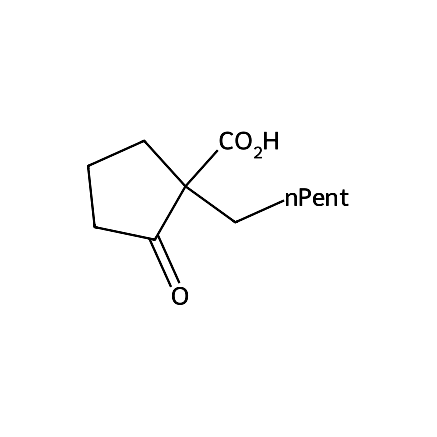 CCCCCCC1(C(=O)O)CCCC1=O